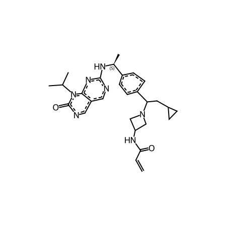 C=CC(=O)NC1CN(C(CC2CC2)c2ccc([C@H](C)Nc3ncc4cnc(=O)n(C(C)C)c4n3)cc2)C1